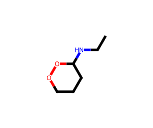 CCN[C]1CCCOO1